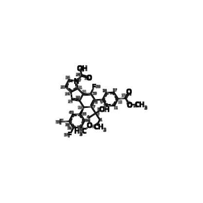 CCC(O)(COC)C1=C(c2ccc(C(=O)OC)cc2)C(F)=C2C(=Cc3ccn(C(=O)O)c32)[C@@H]1c1ccc(F)c(F)c1